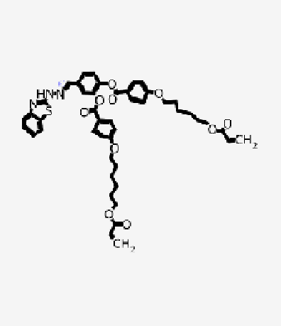 C=CC(=O)OCCCCCCOc1ccc(C(=O)Oc2ccc(/C=N/Nc3nc4ccccc4s3)cc2OC(=O)c2ccc(OCCCCCCOC(=O)C=C)cc2)cc1